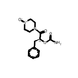 NC(=O)O[C@@H](Cc1ccccc1)C(=O)N1CC[S+]([O-])CC1